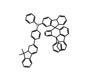 CC1(C)c2ccccc2C2=CC=C(c3ccc(N(c4ccccc4)c4ccc5c(c4)C4(c6ccccc6C6(c7ccccc7)c7c(cccc74)C4=CC=CCC46)C4C=CC=CC54)cc3)CC21